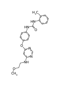 COCCNc1cc(Oc2ccc(NC(=O)Nc3ccccc3C)cc2)ncn1